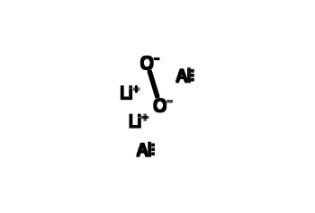 [Al].[Al].[Li+].[Li+].[O-][O-]